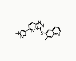 Cc1cc2ncccc2cc1Sc1nnc2ccc(-c3cnn(C)c3)nn12